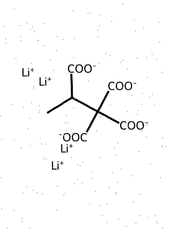 CC(C(=O)[O-])C(C(=O)[O-])(C(=O)[O-])C(=O)[O-].[Li+].[Li+].[Li+].[Li+]